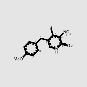 COc1ccc(Cc2c[nH]c(=O)c([N+](=O)[O-])c2C)cc1